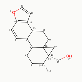 C[C@@H]1CCC2C3C=Cc4occc4C3CCC23C[C@@]13CO